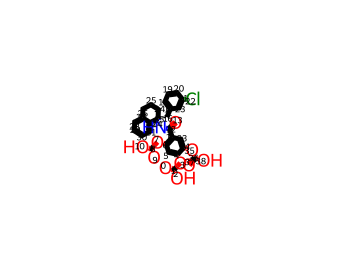 O=C(O)Oc1cc(OC(=O)O)c(C(=O)N[C@]2(Cc3cccc(Cl)c3)CCCc3ccccc32)cc1OC(=O)O